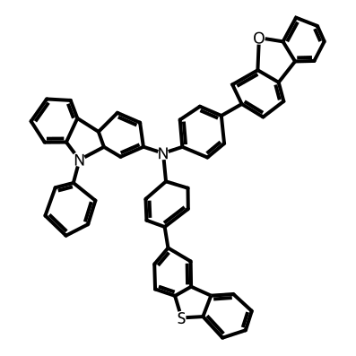 C1=CC(N(C2=CC3C(C=C2)c2ccccc2N3c2ccccc2)c2ccc(-c3ccc4c(c3)oc3ccccc34)cc2)CC=C1c1ccc2sc3ccccc3c2c1